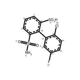 NS(=O)(=O)c1cccc(S(=O)(=O)O)c1-c1cc(F)ccc1Cl